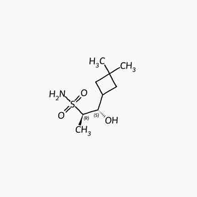 C[C@H]([C@@H](O)C1CC(C)(C)C1)S(N)(=O)=O